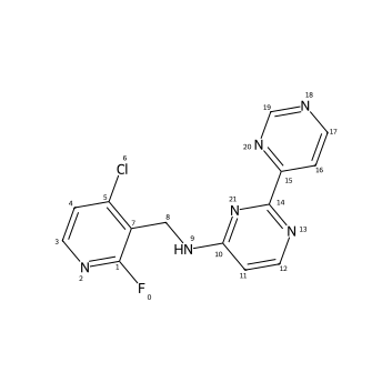 Fc1nccc(Cl)c1CNc1ccnc(-c2ccncn2)n1